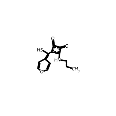 CCCNc1c(C(S)=C2C=COC=C2)c(=O)c1=O